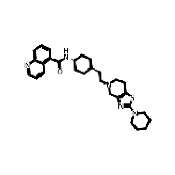 O=C(N[C@H]1CC[C@H](CCN2CCc3sc(N4CCCCC4)nc3C2)CC1)c1cccc2ncccc12